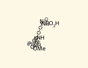 COC(=O)N[C@H](C(=O)N1CCC[C@H]1c1ncc(-c2ccc(-c3ccc(-c4cnc(C5C6CCC(C6)C5C(=O)O)[nH]4)cc3)cc2)[nH]1)C(C)C